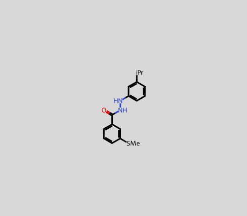 CSc1cccc(C(=O)NNc2cccc(C(C)C)c2)c1